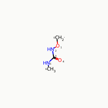 [CH2]ONC(=O)NC